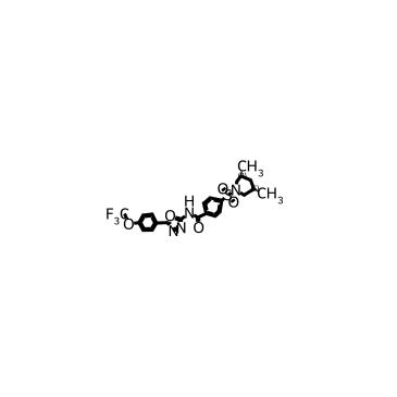 C[C@@H]1C[C@H](C)CN(S(=O)(=O)c2ccc(C(=O)Nc3nnc(-c4ccc(OC(F)(F)F)cc4)o3)cc2)C1